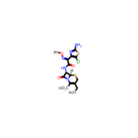 CC(=O)OCC1=C(C(=O)O)N2C(=O)[C@@H](NC(=O)C(=NOC(C)C)c3nc(N)sc3Cl)[C@H]2SC1